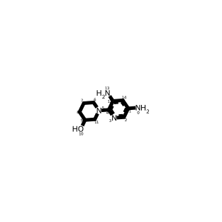 Nc1cnc(N2CCCC(O)C2)c(N)c1